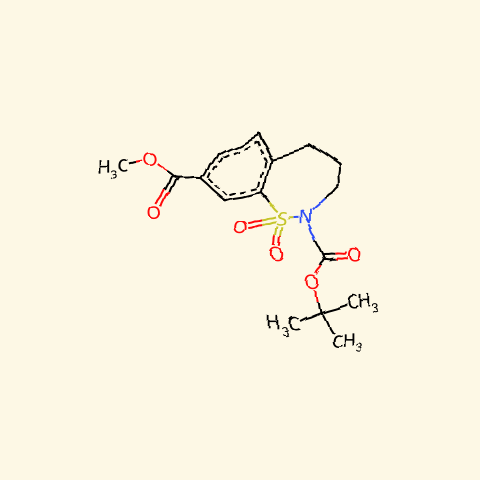 COC(=O)c1ccc2c(c1)S(=O)(=O)N(C(=O)OC(C)(C)C)CCC2